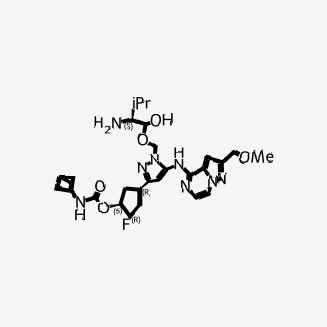 COCc1cc2c(Nc3cc([C@H]4C[C@@H](F)[C@@H](OC(=O)NC56CC(C5)C6)C4)nn3COC(O)[C@@H](N)C(C)C)nccn2n1